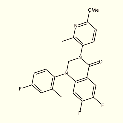 COc1ccc(N2CN(c3ccc(F)cc3C)c3cc(F)c(F)cc3C2=O)c(C)n1